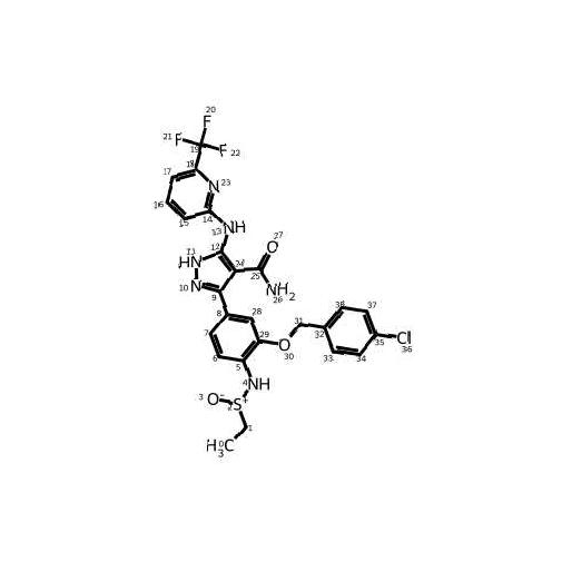 CC[S+]([O-])Nc1ccc(-c2n[nH]c(Nc3cccc(C(F)(F)F)n3)c2C(N)=O)cc1OCc1ccc(Cl)cc1